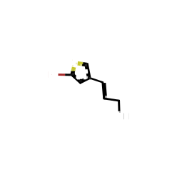 CCC=Cc1csc(Br)c1